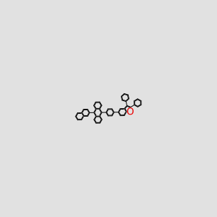 c1ccc(-c2oc3ccc(-c4ccc(-c5c6ccccc6c(-c6ccc7ccccc7c6)c6ccccc56)cc4)cc3c2-c2ccccc2)cc1